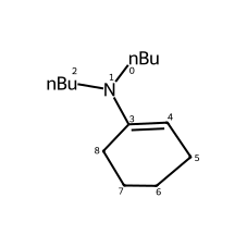 CCCCN(CCCC)C1=CCCCC1